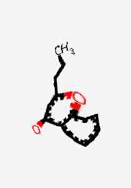 CCCc1cc(=O)c2ccccc2o1